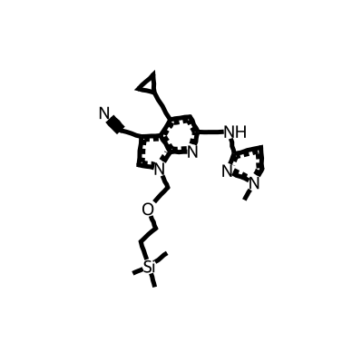 Cn1ccc(Nc2cc(C3CC3)c3c(C#N)cn(COCC[Si](C)(C)C)c3n2)n1